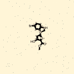 COC(=O)c1sc(N2CNc3ccc(Br)cc32)cc1O